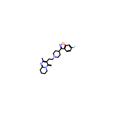 C=C1C(CCN2CCC(c3noc4cc(F)ccc34)CC2)=C(C)N=C2CCCCN12